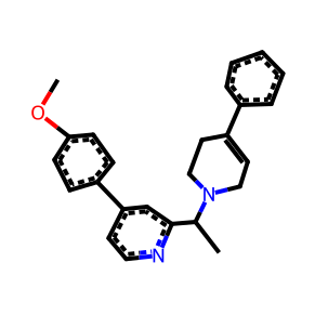 COc1ccc(-c2ccnc(C(C)N3CC=C(c4ccccc4)CC3)c2)cc1